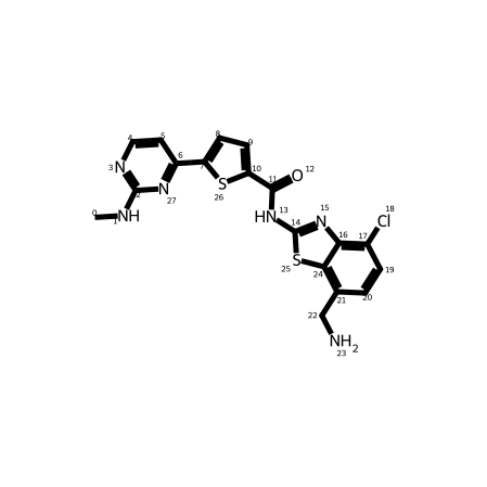 CNc1nccc(-c2ccc(C(=O)Nc3nc4c(Cl)ccc(CN)c4s3)s2)n1